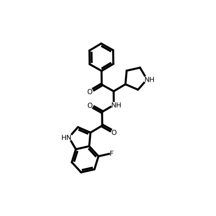 O=C(NC(C(=O)c1ccccc1)C1CCNC1)C(=O)c1c[nH]c2cccc(F)c12